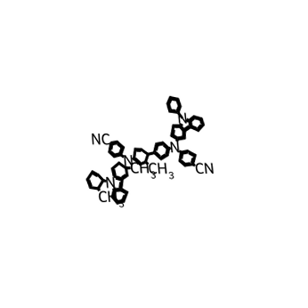 CC1C=C(N(c2ccc(C#N)cc2)C2(C)C=c3c(n(C4C=CC=CC4C)c4ccccc34)=CC2)C=CC1c1ccc(N(c2ccc(C#N)cc2)c2ccc3c(c2)c2ccccc2n3-c2ccccc2)cc1